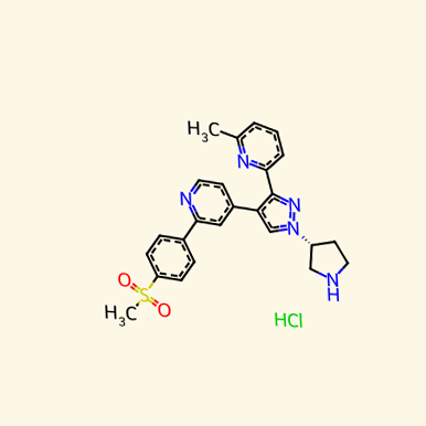 Cc1cccc(-c2nn([C@@H]3CCNC3)cc2-c2ccnc(-c3ccc(S(C)(=O)=O)cc3)c2)n1.Cl